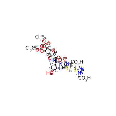 O=C(O)Cn1nnnc1SCC1=C(C(=O)O)N2C(=O)[C@@H](NC(=O)C(NC(=O)c3coc4cc(OC(=O)OCC(Cl)(Cl)Cl)c(OC(=O)OCC(Cl)(Cl)Cl)cc4c3=O)c3ccc(O)cc3)[C@@H]2SC1